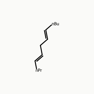 CCCC=CCC=CCCCC